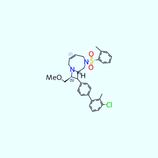 COC[C@@H]1C(c2ccc(-c3cccc(Cl)c3C)cc2)[C@@H]2CN(S(=O)(=O)c3ccccc3C)C/C=C\CN12